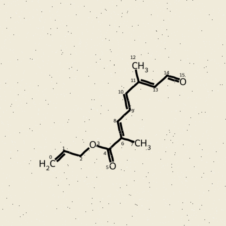 C=CCOC(=O)C(C)=CC=CC(C)=CC=O